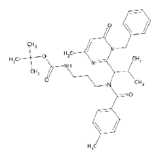 Cc1ccc(C(=O)N(CCCNC(=O)OC(C)(C)C)C(c2nc(C)cc(=O)n2Cc2ccccc2)C(C)C)cc1